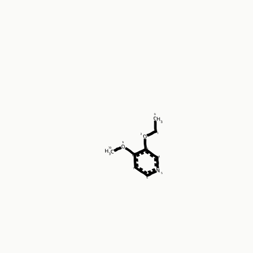 CCOc1[c]nccc1OC